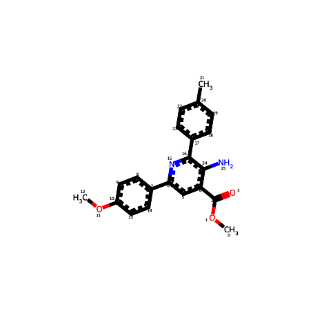 COC(=O)c1cc(-c2ccc(OC)cc2)nc(-c2ccc(C)cc2)c1N